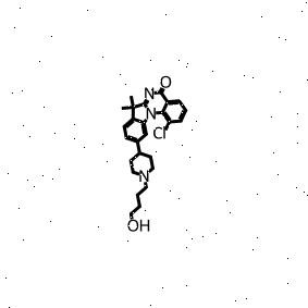 CC1(C)c2ccc(C3CCN(CCCCO)CC3)cc2-n2c1nc(=O)c1cccc(Cl)c12